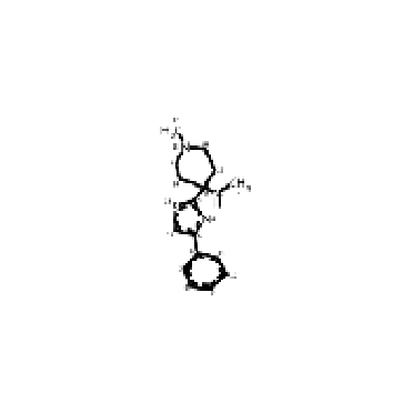 CNC1(c2nc(-c3ccccc3)cs2)CCN(C)CC1